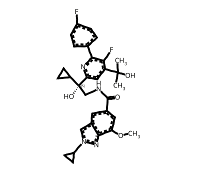 COc1cc(C(=O)NC[C@](O)(c2cc(C(C)(C)O)c(F)c(-c3ccc(F)cc3)n2)C2CC2)cc2cn(C3CC3)nc12